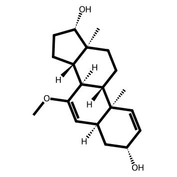 COC1=C[C@@H]2C[C@@H](O)C=C[C@]2(C)[C@H]2CC[C@]3(C)[C@@H](O)CC[C@H]3[C@H]12